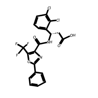 O=C(O)C[C@H](NC(=O)c1nc(-c2ccccc2)oc1C(F)(F)F)c1cccc(Cl)c1Cl